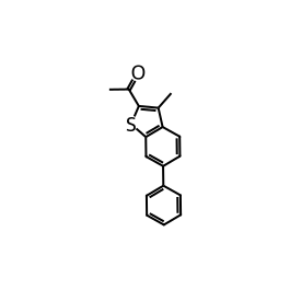 CC(=O)c1sc2cc(-c3ccccc3)ccc2c1C